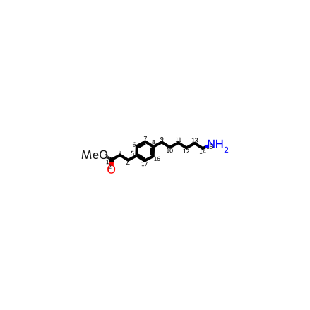 COC(=O)CCc1ccc(CCCCCCN)cc1